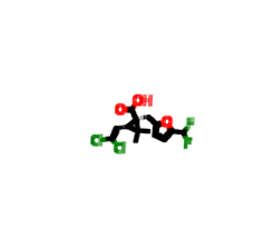 CC1(C)[C@@H](C=C(Cl)Cl)[C@@]1(Cc1ccc(C(F)F)o1)C(=O)O